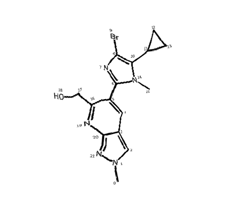 Cn1cc2cc(-c3nc(Br)c(C4CC4)n3C)c(CO)nc2n1